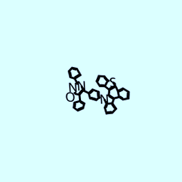 c1ccc(-c2nc(-c3ccc(-n4c5ccccc5c5c6ccccc6c6sc7ccccc7c6c54)cc3)c3c(n2)oc2ccccc23)cc1